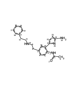 CC(=O)Nc1ccc(CCNCCc2ccccc2)cc1-c1csc(N)n1